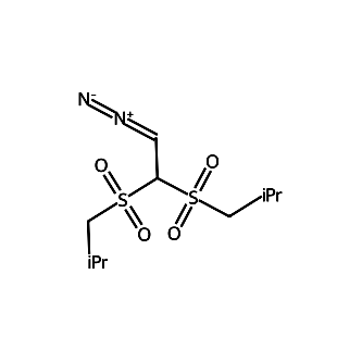 CC(C)CS(=O)(=O)C(C=[N+]=[N-])S(=O)(=O)CC(C)C